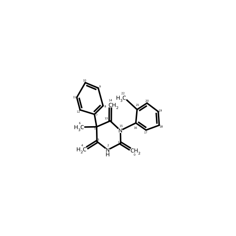 C=C1NC(=C)C(C)(c2ccccc2)C(=C)N1c1ccccc1C